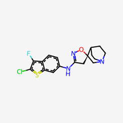 Fc1c(Cl)sc2cc(NC3=NO[C@@]4(C3)CN3CCC4CC3)ccc12